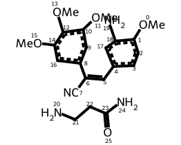 COc1ccc(/C=C(/C#N)c2cc(OC)c(OC)c(OC)c2)cc1N.NCCC(N)=O